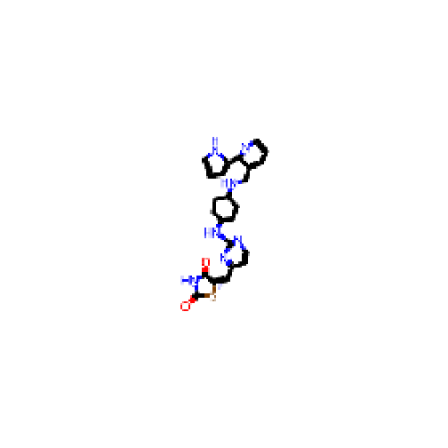 O=C1NC(=O)/C(=C\c2ccnc(NC3CCC(NCc4cccnc4-c4ccc[nH]4)CC3)n2)S1